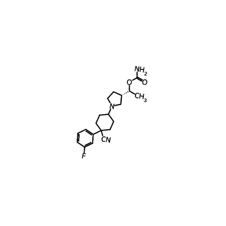 CC(OC(N)=O)[C@H]1CCN(C2CCC(C#N)(c3cccc(F)c3)CC2)C1